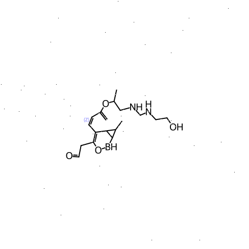 C=C(/C=C\C1=C(CC=O)OBC2C(C)C12)OC(C)CNCNCCO